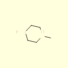 C[SiH]1CC[SiH2]CC1